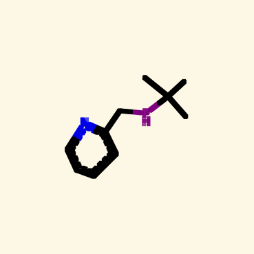 CC(C)(C)PCc1ccccn1